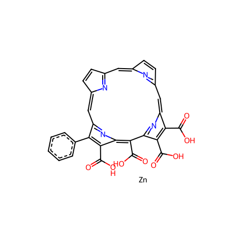 O=C(O)C1=C2N=C(C=C3C=CC(=N3)C=C3C=CC(=N3)C=C3N=C1C(C(=O)O)=C3C(=O)O)C(c1ccccc1)=C2C(=O)O.[Zn]